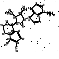 Nc1ncnc2c1ccn2[C@@H]1O[C@H]([C@@H]2OCCc3c2ccc(F)c3F)[C@@H](O)[C@H]1O